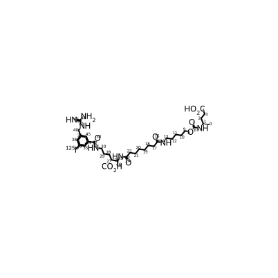 C[C@H](CCC(=O)O)NC(=O)OCCCCCNC(=O)CCCCCCC(=O)NC(CCCCNC(=O)c1cc([125I])cc(CNC(=N)N)c1)C(=O)O